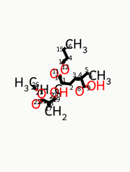 C=C(CC=C(CC)C(=O)O)C(=O)OCCCC.C=C(CO)C(=O)OCC